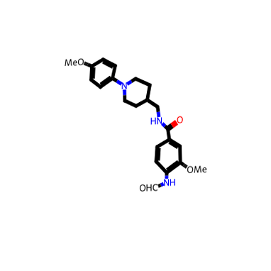 COc1ccc(N2CCC(CNC(=O)c3ccc(NC=O)c(OC)c3)CC2)cc1